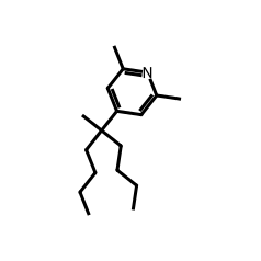 CCCCC(C)(CCCC)c1cc(C)nc(C)c1